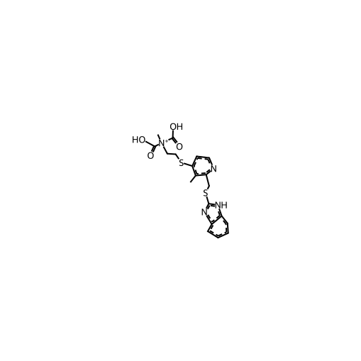 Cc1c(SCC[N+](C)(C(=O)O)C(=O)O)ccnc1CSc1nc2ccccc2[nH]1